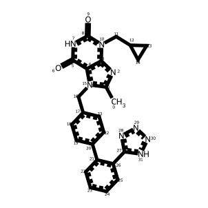 Cc1nc2c(c(=O)[nH]c(=O)n2CC2CC2)n1Cc1ccc(-c2ccccc2-c2nnn[nH]2)cc1